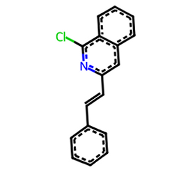 Clc1nc(C=Cc2ccccc2)cc2ccccc12